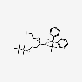 CC(C)(C)[Si](C)(C)OCCC(CO[Si](c1ccccc1)(c1ccccc1)C(C)(C)C)OCCI